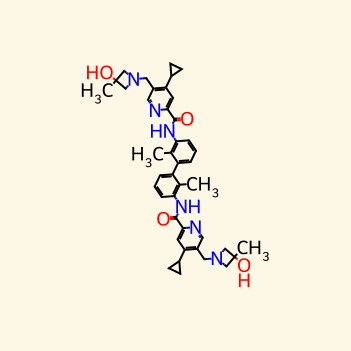 Cc1c(NC(=O)c2cc(C3CC3)c(CN3CC(C)(O)C3)cn2)cccc1-c1cccc(NC(=O)c2cc(C3CC3)c(CN3CC(C)(O)C3)cn2)c1C